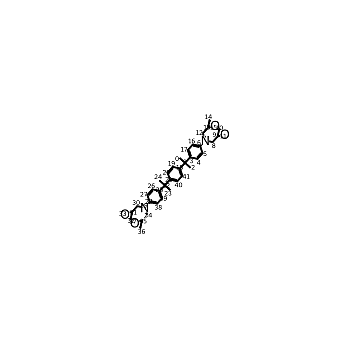 CC(C)(c1ccc(N(CC2CO2)CC2CO2)cc1)c1ccc(C(C)(C)c2ccc(N(CC3CO3)C[C@@H]3CO3)cc2)cc1